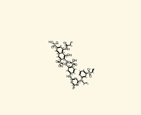 C=CS(=O)(=O)c1cccc(N(CC)c2nc(F)nc(Nc3ccc(S(=O)(=O)O)c(/N=N/c4c(S(=O)(=O)O)cc5cc(S(=O)(=O)O)cc(NC(=O)CC)c5c4O)c3)n2)c1